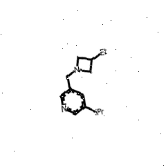 CCC1CN(Cc2cncc(C(C)C)c2)C1